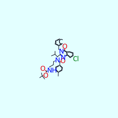 Cc1ccc(C(=O)N(CCCNC(=O)OC(C)(C)C)C(c2nc3cc(Cl)ccc3c(=O)n2Cc2ccccc2)C(C)C)cc1